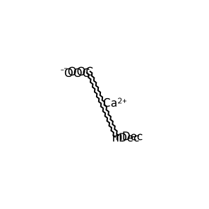 CCCCCCCCCCCCCCCCCCCCCCCCCCCCCCCCCCCCC(=O)[O-].CCCCCCCCCCCCCCCCCCCCCCCCCCCCCCCCCCCCC(=O)[O-].[Ca+2]